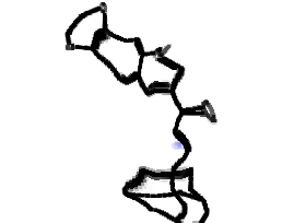 O=C(/C=C/C12CC3CC(CC(C3)C1)C2)c1cnc2cc3c(cc2c1)OCO3